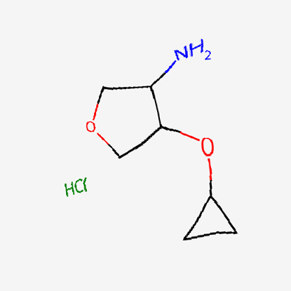 Cl.NC1COCC1OC1CC1